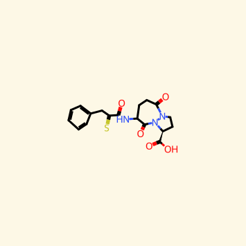 O=C(NC1CCC(=O)N2CC[C@@H](C(=O)O)N2C1=O)C(=S)Cc1ccccc1